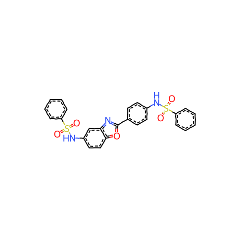 O=S(=O)(Nc1ccc(-c2nc3cc(NS(=O)(=O)c4ccccc4)ccc3o2)cc1)c1ccccc1